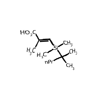 CCCC(C)(C)[Si](C)(C)C=C(C)C(=O)O